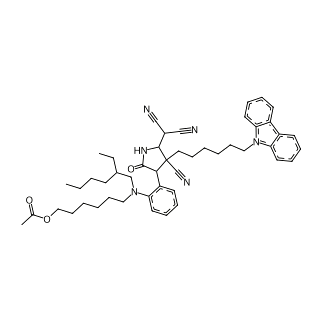 CCCCC(CC)CN(CCCCCCOC(C)=O)c1ccccc1C1C(=O)NC(C(C#N)C#N)C1(C#N)CCCCCCn1c2ccccc2c2ccccc21